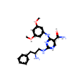 COc1cc(Nc2nc(NC[C@@H](N)Cc3ccccc3)ncc2C(N)=O)cc(OC)c1